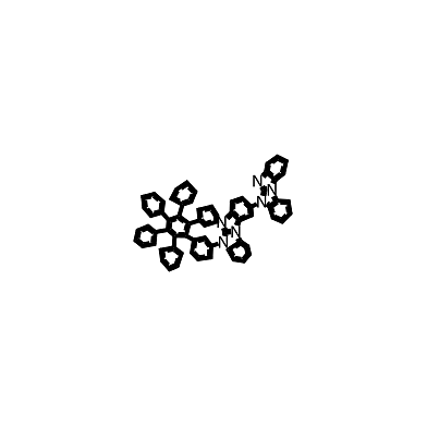 c1ccc(-c2c(-c3ccccc3)c(-c3ccccc3)c(-c3cccc(-n4c5ccccc5n5c6cc(-n7c8ccccc8n8c9ccccc9nc78)ccc6nc45)c3)c(-c3ccccc3)c2-c2ccccc2)cc1